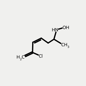 C=C(Cl)/C=C\CC(C)NO